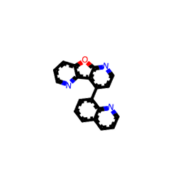 c1cnc2c(-c3ccnc4oc5cccnc5c34)cccc2c1